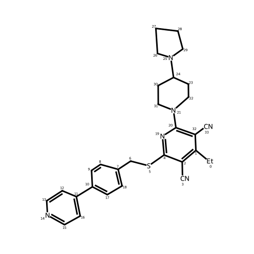 CCc1c(C#N)c(SCc2ccc(-c3ccncc3)cc2)nc(N2CCC(N3CCCC3)CC2)c1C#N